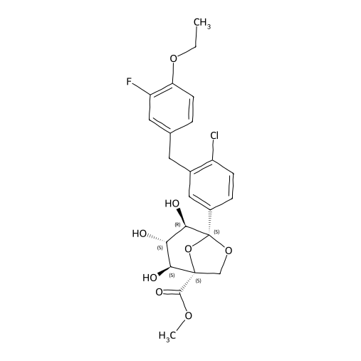 CCOc1ccc(Cc2cc([C@]34OC[C@](C(=O)OC)(O3)[C@@H](O)[C@H](O)[C@H]4O)ccc2Cl)cc1F